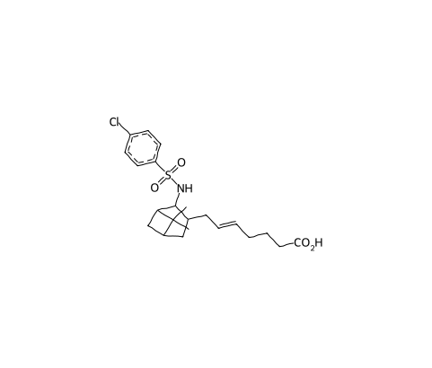 CC1(C)C2CC(C/C=C/CCCC(=O)O)C(NS(=O)(=O)c3ccc(Cl)cc3)C1C2